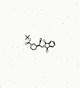 CC(C)(C)OC(=O)N1CCC/C(=C(/C#N)CN2C(=O)c3ccccc3C2=O)C1